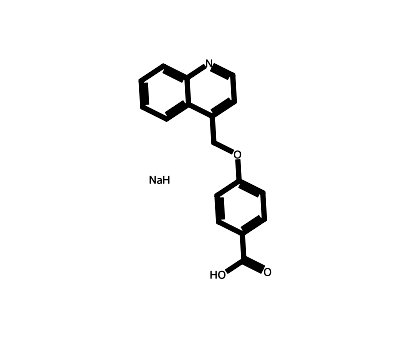 O=C(O)c1ccc(OCc2ccnc3ccccc23)cc1.[NaH]